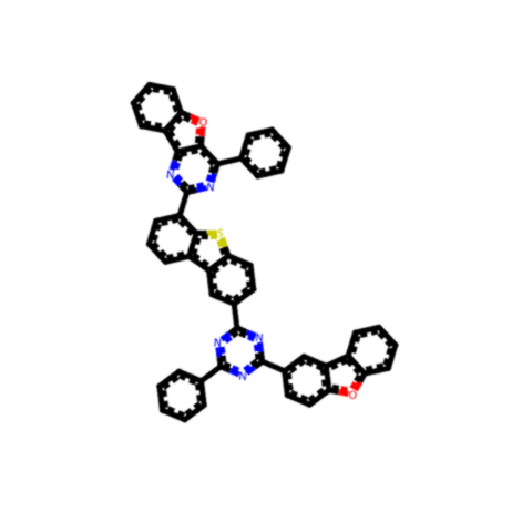 c1ccc(-c2nc(-c3ccc4oc5ccccc5c4c3)nc(-c3ccc4sc5c(-c6nc(-c7ccccc7)c7oc8ccccc8c7n6)cccc5c4c3)n2)cc1